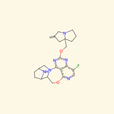 C=C1CN2CCCC2(COc2nc3c4c(ncc(F)c4n2)OCC2C4CCC(CN32)N4)C1